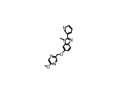 COc1cnc(COc2ccc3nc(-c4cccnc4)n(C)c3c2)cn1